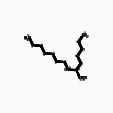 NCCCCCCN[C@@H](CCCCN)C(=O)O